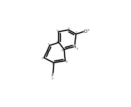 Fc1ccc2ccc(Cl)nc2c1